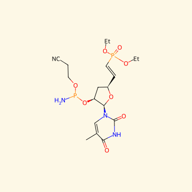 CCOP(=O)(/C=C/[C@@H]1C[C@H](OP(N)OCCC#N)[C@H](n2cc(C)c(=O)[nH]c2=O)O1)OCC